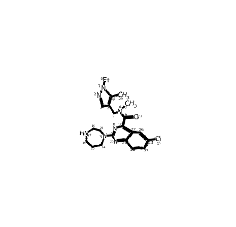 CCn1ncc(CN(C)C(=O)c2nc(N3CCCNCC3)nc3ccc(Cl)cc23)c1C